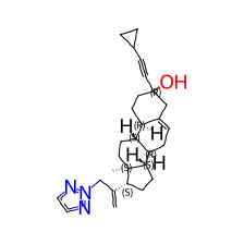 C=C(Cn1nccn1)[C@H]1CC[C@H]2[C@@H]3CC=C4C[C@@](O)(C#CC5CC5)CC[C@@H]4[C@H]3CC[C@]12C